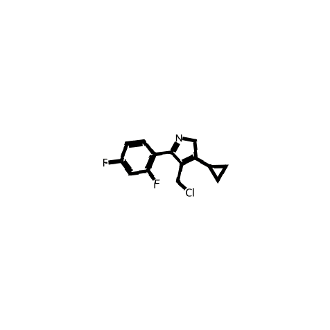 Fc1ccc(C2=NCC(C3CC3)=C2CCl)c(F)c1